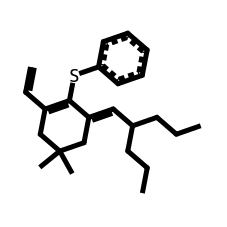 C=CC1=C(Sc2ccccc2)/C(=C/C(CCC)CCC)CC(C)(C)C1